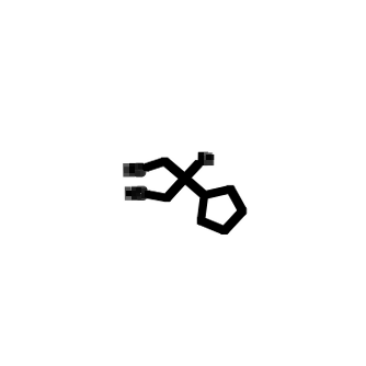 CCC(CO)(CO)C1CCCC1